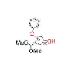 COC(OC)[C]1C[C@H](O)C[C@H]1Oc1ccccc1